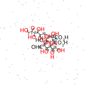 O=C(CO)C(O)C(O)C(O)CO.O=C(O)CC(O)(CC(=O)O)C(=O)O.O=CC(O)C(O)C(O)C(O)CO